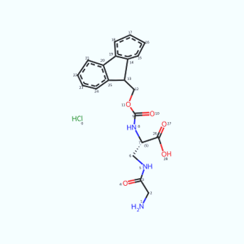 Cl.NCC(=O)NC[C@H](NC(=O)OCC1c2ccccc2-c2ccccc21)C(=O)O